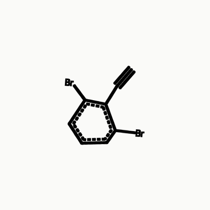 C#Cc1c(Br)cccc1Br